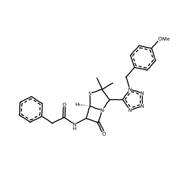 COc1ccc(Cn2nnnc2C2N3C(=O)C(NC(=O)Cc4ccccc4)[C@H]3SC2(C)C)cc1